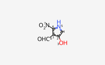 O=Cc1c(O)c[nH]c1[N+](=O)[O-]